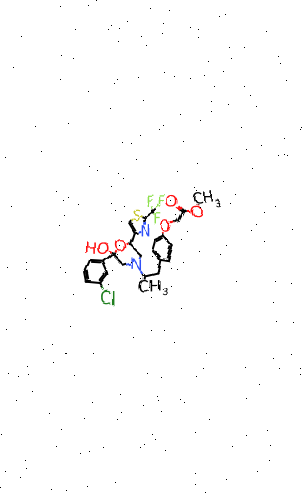 COC(=O)COc1ccc(CC(C)N2CC(c3csc(C(F)(F)F)n3)OC(O)(c3cccc(Cl)c3)C2)cc1